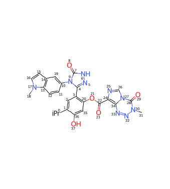 CC(C)c1cc(-c2n[nH]c(=O)n2-c2ccc3c(ccn3C)c2)c(OC(=O)c2ncn3c(=O)n(C)nnc23)cc1O